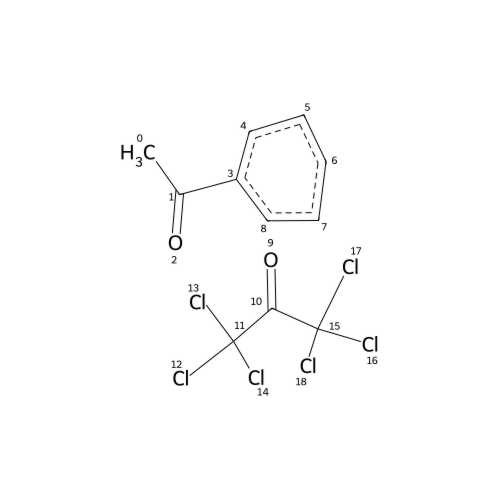 CC(=O)c1ccccc1.O=C(C(Cl)(Cl)Cl)C(Cl)(Cl)Cl